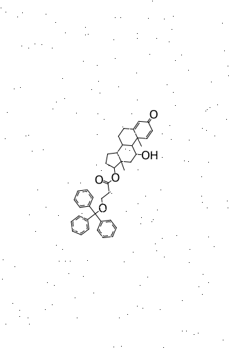 CC12C=CC(=O)C=C1CCC1C2C(O)CC2(C)C(OC(=O)CCOC(c3ccccc3)(c3ccccc3)c3ccccc3)CCC12